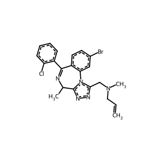 C=CCN(C)Cc1nnc2n1-c1cc(Br)ccc1C(c1ccccc1Cl)=NC2C